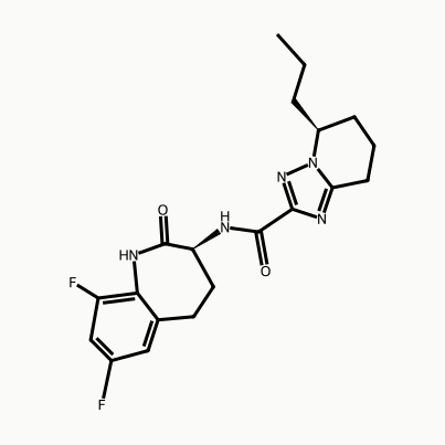 CCC[C@H]1CCCc2nc(C(=O)N[C@H]3CCc4cc(F)cc(F)c4NC3=O)nn21